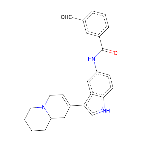 O=Cc1cccc(C(=O)Nc2ccc3[nH]cc(C4=CCN5CCCCC5C4)c3c2)c1